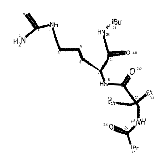 C=C(N)NCCC[C@H](NC(=O)C(CC)(CC)NC(=O)C(C)C)C(=O)N[C@@H](C)CC